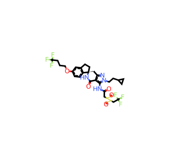 O=C(CS(=O)(=O)CC(F)(F)F)Nc1c2c(nn1CCC1CC1)C[C@]1(CCc3cc(OCCCC(F)(F)F)ccc31)NC2=O